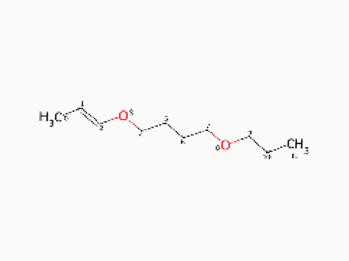 CC=COCCCCOCCC